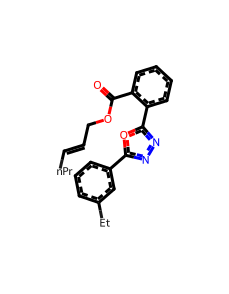 CCCC=CCOC(=O)c1ccccc1-c1nnc(-c2cccc(CC)c2)o1